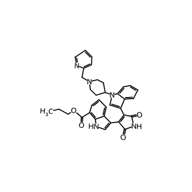 CCCOC(=O)c1cccc2c(C3=C(c4cn(C5CCN(Cc6ccccn6)CC5)c5ccccc45)C(=O)NC3=O)c[nH]c12